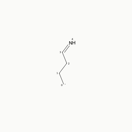 [CH2]CCC=N